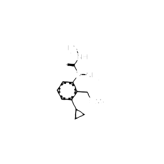 COCc1c(C2CC2)cccc1N(N)C(=O)NN